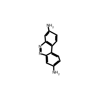 Nc1ccc2c(c1)nnc1cc(N)ccc12